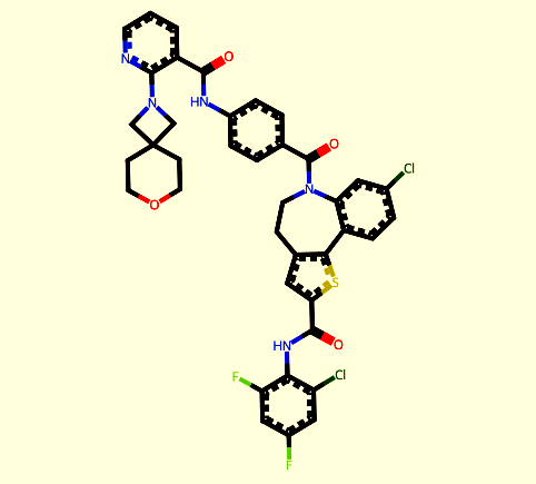 O=C(Nc1c(F)cc(F)cc1Cl)c1cc2c(s1)-c1ccc(Cl)cc1N(C(=O)c1ccc(NC(=O)c3cccnc3N3CC4(CCOCC4)C3)cc1)CC2